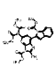 Cc1nc2c(-c3cc4ccccc4n3C(=O)OC(C)(C)C)cc(N(C(=O)OC(C)(C)C)C(=O)OC(C)(C)C)nc2n1C(=O)OC(C)(C)C